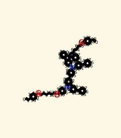 C=Cc1ccc(OCCCCCCOc2ccc(-n3c4ccc(-c5ccccc5)cc4c4cc(-c5ccc(N(c6ccc(-c7ccccc7)cc6)c6ccc7c(c6)C(CCCCCCOc6ccc(C=C)cc6)(c6ccccc6)c6ccccc6-7)cc5)ccc43)cc2)cc1